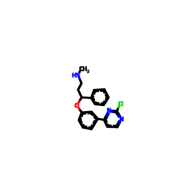 CNCCC(Oc1cccc(-c2ccnc(Cl)n2)c1)c1ccccc1